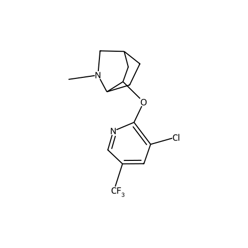 CN1CC2CCC1C(Oc1ncc(C(F)(F)F)cc1Cl)C2